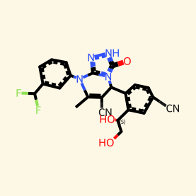 CC1=C(C#N)C(c2ccc(C#N)cc2[C@H](O)CO)n2c(n[nH]c2=O)N1c1cccc(C(F)F)c1